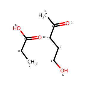 CC(=O)CCCO.CCC(=O)O